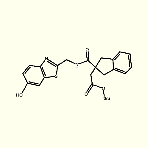 CC(C)(C)OC(=O)CC1(C(=O)NCc2nc3ccc(O)cc3s2)Cc2ccccc2C1